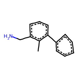 Cc1c(CN)cccc1-c1ccccc1